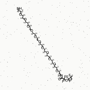 CC(F)(F)C(F)(F)OC(F)(F)C(=O)NCCOCCOCCOCCOCCOCCOCCOCCOCCOCCOCCOCCN